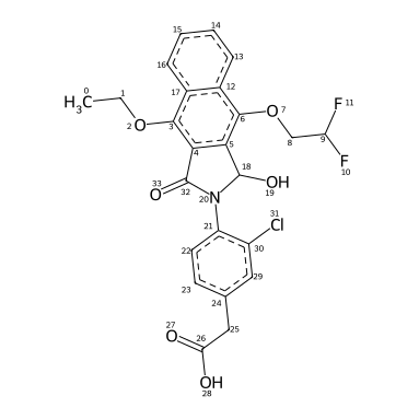 CCOc1c2c(c(OCC(F)F)c3ccccc13)C(O)N(c1ccc(CC(=O)O)cc1Cl)C2=O